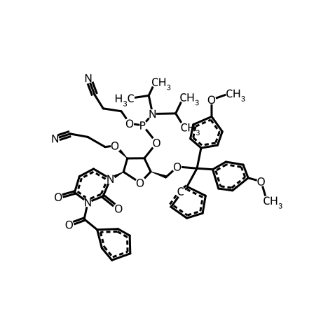 COc1ccc(C(OC[C@H]2O[C@@H](n3ccc(=O)n(C(=O)c4ccccc4)c3=O)[C@@H](OCCC#N)C2OP(OCCC#N)N(C(C)C)C(C)C)(c2ccccc2)c2ccc(OC)cc2)cc1